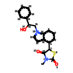 CN1C(=O)SC(c2cccc3c2ccn3CC(O)c2ccccc2)C1=O